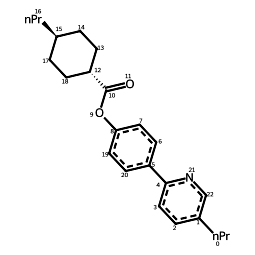 CCCc1ccc(-c2ccc(OC(=O)[C@H]3CC[C@H](CCC)CC3)cc2)nc1